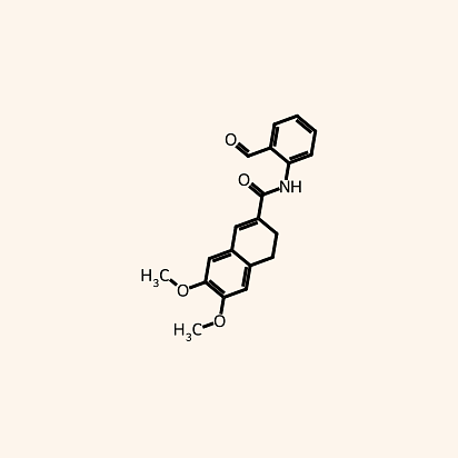 COc1cc2c(cc1OC)CCC(C(=O)Nc1ccccc1C=O)=C2